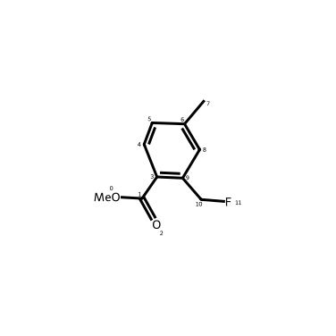 COC(=O)c1ccc(C)cc1CF